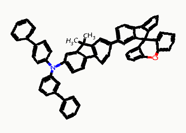 CC1(C)c2cc(-c3ccc4c(c3)C3(c5ccccc5Oc5ccccc53)c3ccccc3-4)ccc2-c2ccc(N(c3ccc(-c4ccccc4)cc3)c3cccc(-c4ccccc4)c3)cc21